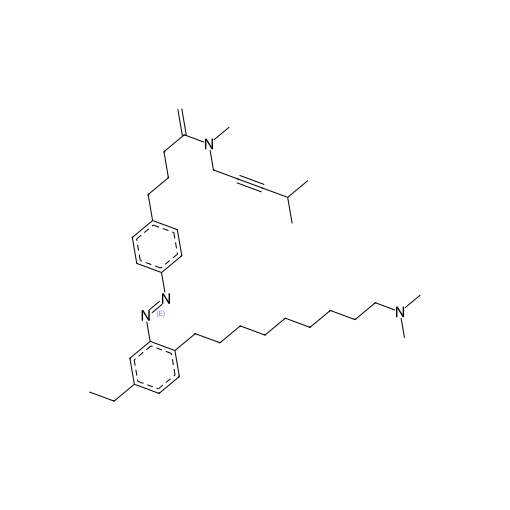 C=C(CCCc1ccc(/N=N/c2cc(CC)ccc2CCCCCCCCCN(C)C)cc1)N(C)CC#CC(C)C